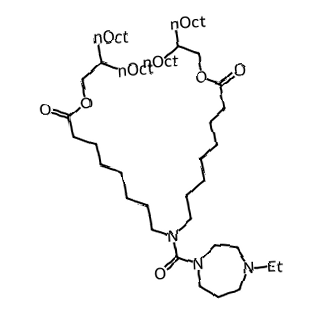 CCCCCCCCC(CCCCCCCC)COC(=O)CCCCCCCN(CCCCCCCC(=O)OCC(CCCCCCCC)CCCCCCCC)C(=O)N1CCCN(CC)CC1